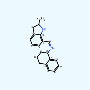 CC1Cc2cccc(/C=N\C3CCCc4ccccc43)c2N1